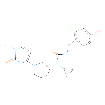 Cn1ccc(N2CCC[C@@H](N(C(=O)NCc3ccc(Br)cc3F)C3CC3)C2)nc1=O